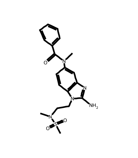 CN(C(=O)c1ccccc1)c1ccc2c(c1)nc(N)n2CCN(C)S(C)(=O)=O